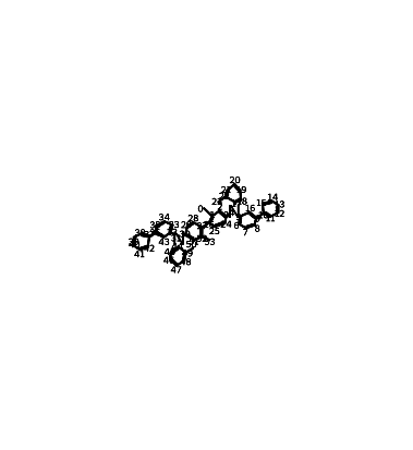 Cc1cc(N(c2cccc(-c3ccccc3)c2)c2ccccc2C)ccc1-c1ccc(N(c2cccc(-c3ccccc3)c2)c2ccccc2C)cc1C